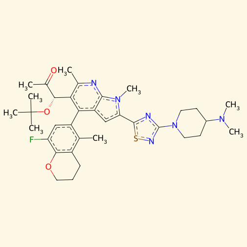 CC(=O)[C@@H](OC(C)(C)C)c1c(C)nc2c(cc(-c3nc(N4CCC(N(C)C)CC4)ns3)n2C)c1-c1cc(F)c2c(c1C)CCCO2